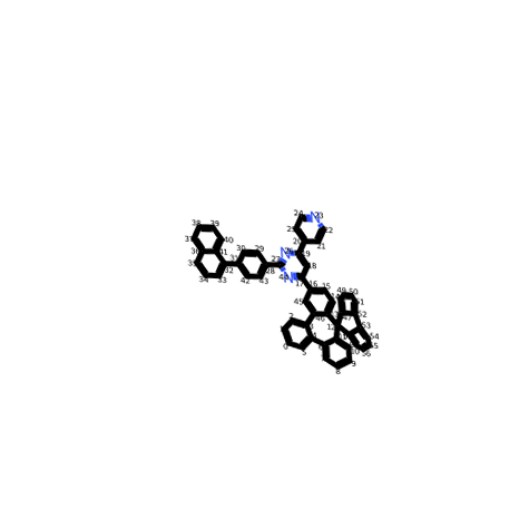 c1ccc2c(c1)-c1ccccc1C1(c3ccc(-c4cc(-c5ccncc5)nc(-c5ccc(-c6cccc7ccccc67)cc5)n4)cc3-2)c2ccccc2-c2ccccc21